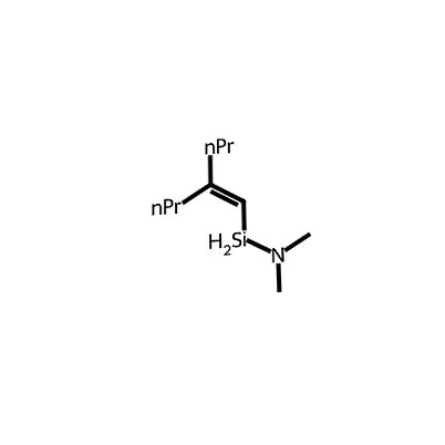 CCCC(=C[SiH2]N(C)C)CCC